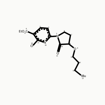 CCOC(=O)c1ccc(N2CCC(OCCCC(C)(C)C)C2=O)nc1Cl